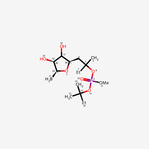 B[C@@H]1O[C@H](CC(C)(CC)OP(=O)(OC)OC(C)(C)CC)C(O)[C@@H]1O